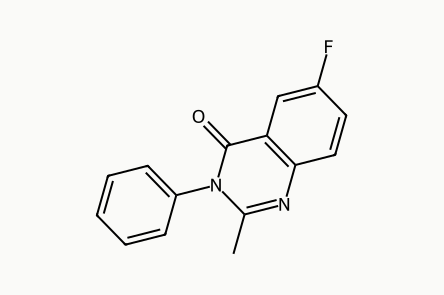 Cc1nc2ccc(F)cc2c(=O)n1-c1ccccc1